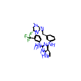 CN1CCN(c2ccc(Nc3nc(Nc4cccc(CC#N)c4)c4cc[nH]c4n3)cc2C(F)(F)F)CC1